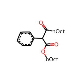 CCCCCCCCOC(=O)C(C(=O)CCCCCCCC)c1ccccc1